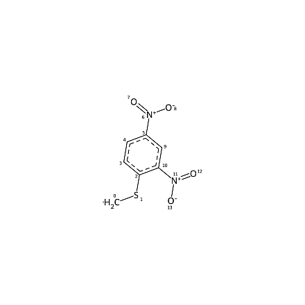 [CH2]Sc1ccc([N+](=O)[O-])cc1[N+](=O)[O-]